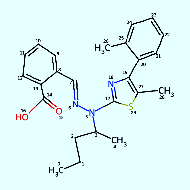 CCCC(C)N(/N=C/c1ccccc1C(=O)O)c1nc(-c2ccccc2C)c(C)s1